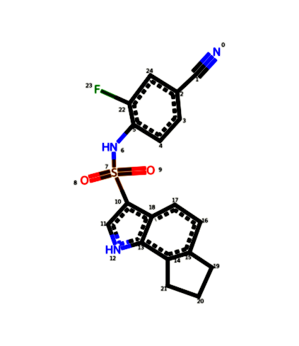 N#Cc1ccc(NS(=O)(=O)c2c[nH]c3c4c(ccc23)CCC4)c(F)c1